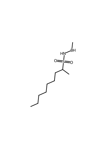 CBNS(=O)(=O)C(C)CCCCCCC